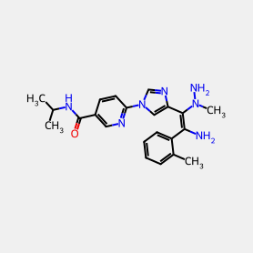 Cc1ccccc1/C(N)=C(\c1cn(-c2ccc(C(=O)NC(C)C)cn2)cn1)N(C)N